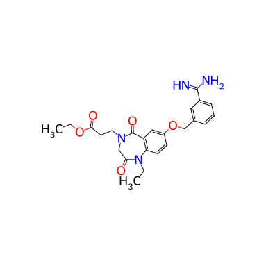 CCOC(=O)CCN1CC(=O)N(CC)c2ccc(OCc3cccc(C(=N)N)c3)cc2C1=O